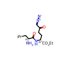 CCOC(=O)[C@@H](CCC(=O)C=[N+]=[N-])NC(=O)[C@H](N)CC(C)C